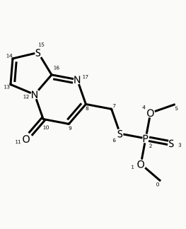 COP(=S)(OC)SCc1cc(=O)n2ccsc2n1